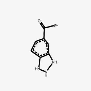 CC(C)C(=O)c1ccc2c(c1)NNN2